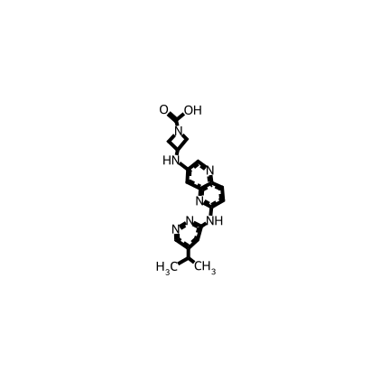 CC(C)c1cnnc(Nc2ccc3ncc(NC4CN(C(=O)O)C4)cc3n2)c1